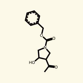 CC(=O)C1CN(C(=O)OCc2ccccc2)CC1O